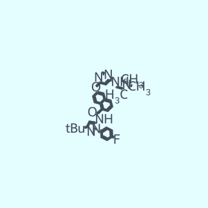 CC(CNc1cc(Oc2ccc3c(C(=O)Nc4cc(C(C)(C)C)nn4-c4ccc(F)cc4)cccc3c2)ncn1)N(C)C